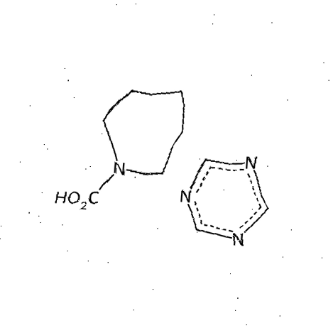 O=C(O)N1CCCCC1.c1ncncn1